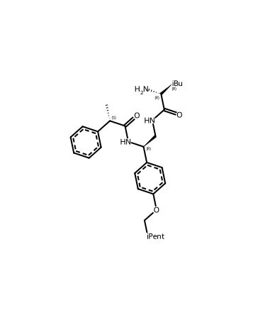 CCCC(C)COc1ccc([C@H](CNC(=O)[C@H](N)[C@H](C)CC)NC(=O)[C@@H](C)c2ccccc2)cc1